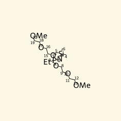 CCP(=N[Si](C)(C)C)(OCCOCCOC)OCCOCCOC